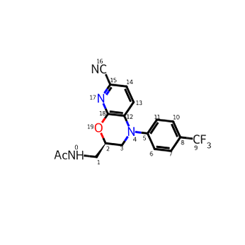 CC(=O)NC[C@@H]1CN(c2ccc(C(F)(F)F)cc2)c2ccc(C#N)nc2O1